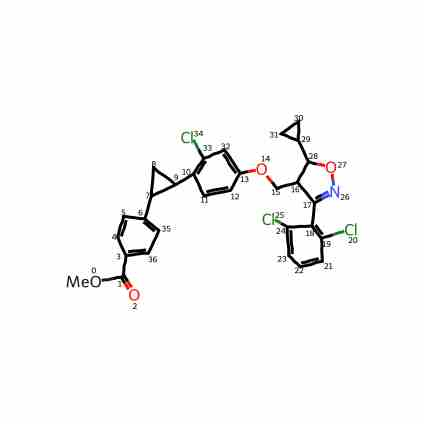 COC(=O)c1ccc(C2CC2c2ccc(OCC3C(c4c(Cl)cccc4Cl)=NOC3C3CC3)cc2Cl)cc1